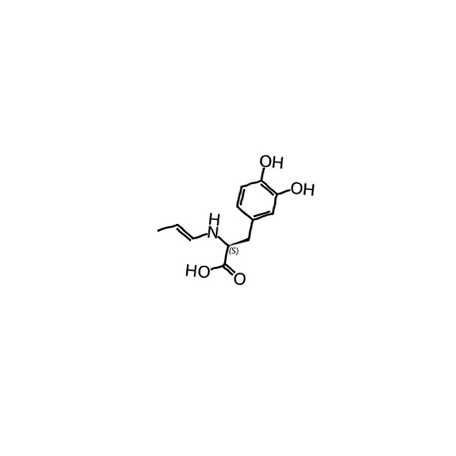 CC=CN[C@@H](Cc1ccc(O)c(O)c1)C(=O)O